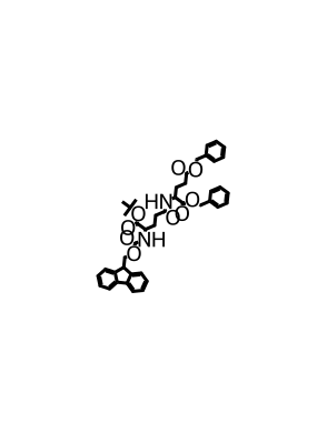 CC(C)(C)OC(=O)C(CCC(=O)NC(CCC(=O)OCc1ccccc1)C(=O)OCc1ccccc1)NC(=O)OCC1c2ccccc2-c2ccccc21